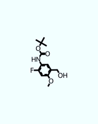 COc1cc(F)c(NC(=O)OC(C)(C)C)cc1CO